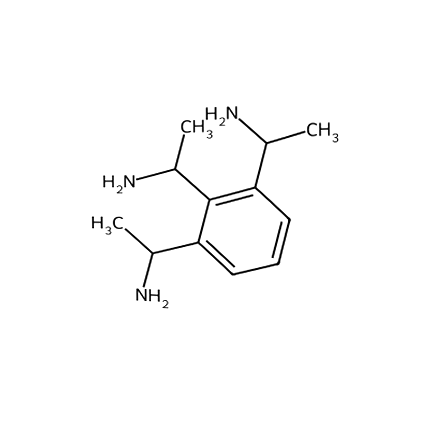 CC(N)c1cccc(C(C)N)c1C(C)N